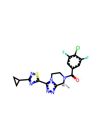 C[C@@H]1c2nnc(-c3nc(C4CC4)ns3)n2CCN1C(=O)c1cc(F)c(Cl)c(F)c1